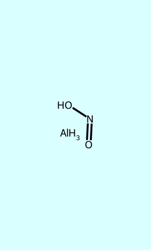 O=NO.[AlH3]